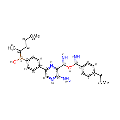 CNCc1ccc(C(=N)OC(=N)c2nc(-c3ccc([S+]([O-])C(C)CCOC)cc3)cnc2N)cc1